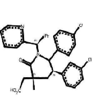 CC(C)[C@H](c1ccccn1)N1C(=O)[C@@](C)(CC(=O)O)C[C@H](c2cccc(Cl)c2)C1c1ccc(Cl)cc1